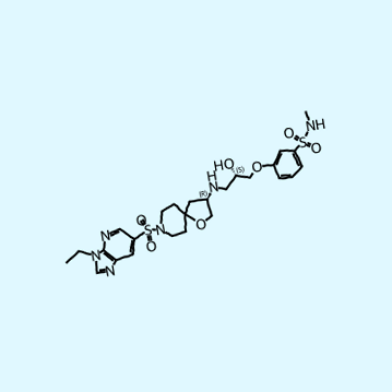 CCn1cnc2cc(S(=O)(=O)N3CCC4(CC3)C[C@@H](NC[C@H](O)COc3cccc(S(=O)(=O)NC)c3)CO4)cnc21